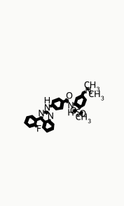 CN(C)Cc1ccc(S(C)(=O)=O)c(NC(=O)c2ccc(Nc3nc(-c4ccccc4F)c4ccccc4n3)cc2)c1